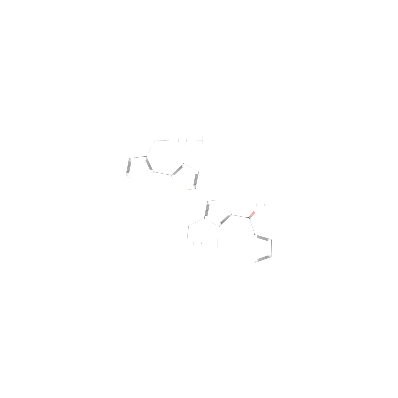 O=C(O)Cc1ccsc1-c1ccc(-c2sc(C(=O)c3cccs3)cc2CC(=O)O)s1